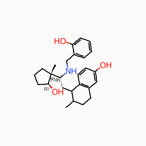 CC1CCc2cc(O)ccc2C1C[C@@H](NCc1ccccc1O)[C@@]1(C)CCC[C@@H]1O